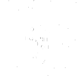 CC(C1CCCO1)P(=O)(O)NC(C(=O)O)c1ccccc1